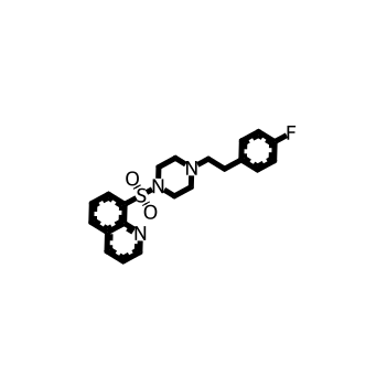 O=S(=O)(c1cccc2cccnc12)N1CCN(CCc2ccc(F)cc2)CC1